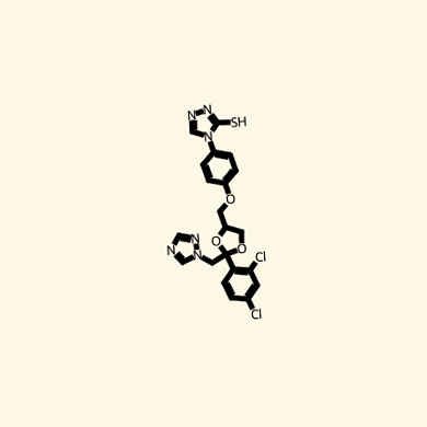 Sc1nncn1-c1ccc(OCC2COC(Cn3cncn3)(c3ccc(Cl)cc3Cl)O2)cc1